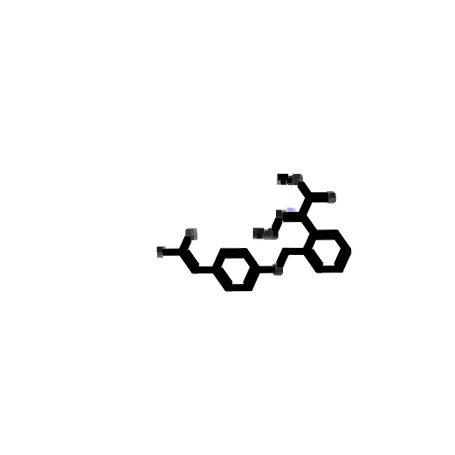 CO/N=C(/C(=O)OC)c1ccccc1COc1ccc(C=C(F)Cl)cc1